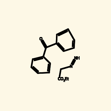 CCOC(=O)CN=N.O=C(c1ccccc1)c1ccccc1